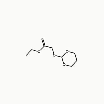 C=C(COC1OCCCO1)OCC